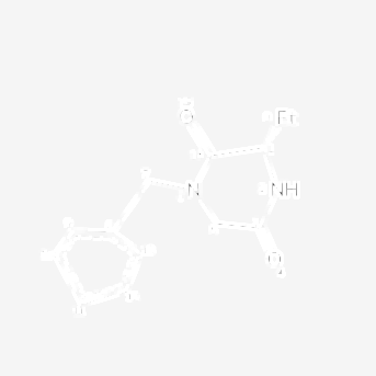 CC[C@@H]1NC(=O)CN(Cc2ccccc2)C1=O